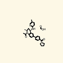 CC(=O)N1c2ccc(-c3ccc(C(=O)N4CCCC4)cc3)cc2[C@H](Nc2ccc(C)cn2)C[C@@H]1C.O=CO